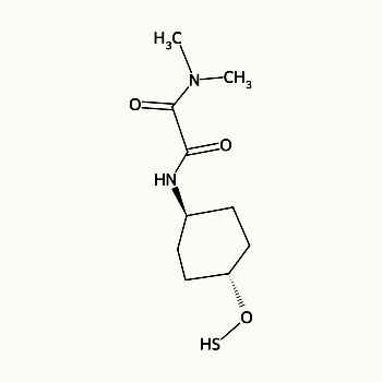 CN(C)C(=O)C(=O)N[C@H]1CC[C@H](OS)CC1